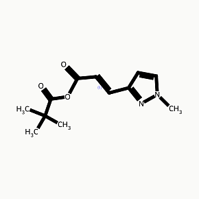 Cn1ccc(/C=C/C(=O)OC(=O)C(C)(C)C)n1